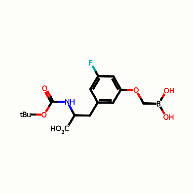 CC(C)(C)OC(=O)NC(Cc1cc(F)cc(OCB(O)O)c1)C(=O)O